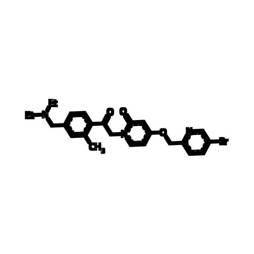 CCN(CC)Cc1ccc(C(=O)Cn2ccc(OCc3ccc(Br)cn3)cc2=O)c(C)c1